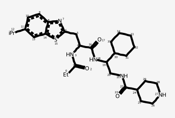 CCC(=O)NC(Cc1nc2ccc(C(C)C)cc2s1)C(=O)NC(CNC(=O)C1CCNCC1)C1CCCCC1